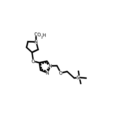 C[Si](C)(C)CCOCn1cc(OC2CCN(C(=O)O)C2)cn1